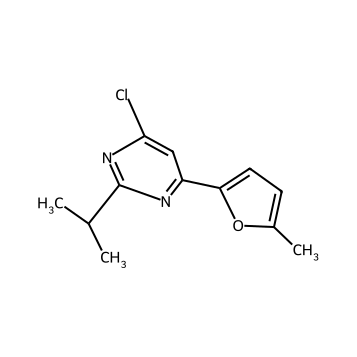 Cc1ccc(-c2cc(Cl)nc(C(C)C)n2)o1